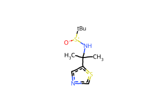 CC(C)(N[S+]([O-])C(C)(C)C)c1cncs1